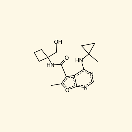 Cc1oc2ncnc(NC3(C)CC3)c2c1C(=O)NC1(CO)CCC1